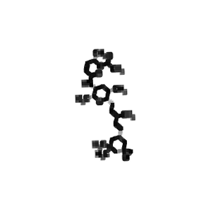 CC(=O)O[C@@H](C)/C=C\C(=O)N[C@@H]1C[C@H](C)[C@H](C/C=C(C)/C=C/[C@H]2CC(C)(C)C[C@@]3(CO3)C2)O[C@@H]1C